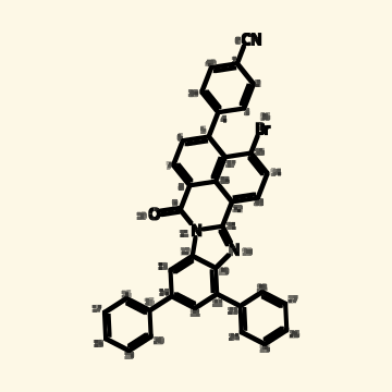 N#Cc1ccc(-c2ccc3c(=O)n4c5cc(-c6ccccc6)cc(-c6ccccc6)c5nc4c4ccc(Br)c2c34)cc1